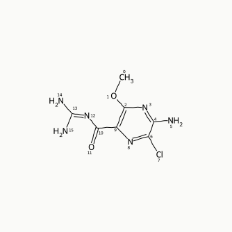 COc1nc(N)c(Cl)nc1C(=O)N=C(N)N